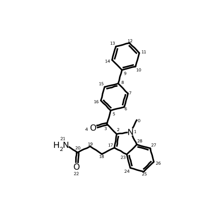 Cn1c(C(=O)c2ccc(-c3ccccc3)cc2)c(CCC(N)=O)c2ccccc21